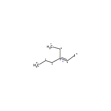 CCC/C(=C/I)CC